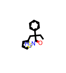 CCC(Cc1cccs1)(C(N)=O)c1ccccc1